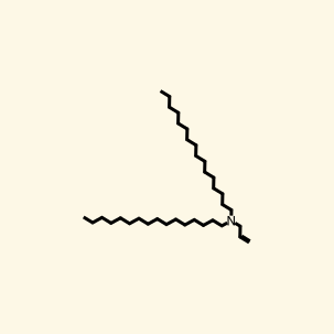 C=CCN(CCCCCCCCCCCCCCCC)CCCCCCCCCCCCCCCC